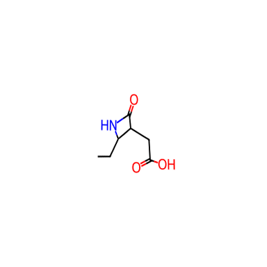 CCC1NC(=O)C1CC(=O)O